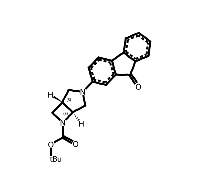 CC(C)(C)OC(=O)N1C[C@@H]2CN(c3ccc4c(c3)C(=O)c3ccccc3-4)C[C@H]21